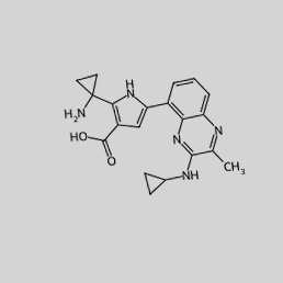 Cc1nc2cccc(-c3cc(C(=O)O)c(C4(N)CC4)[nH]3)c2nc1NC1CC1